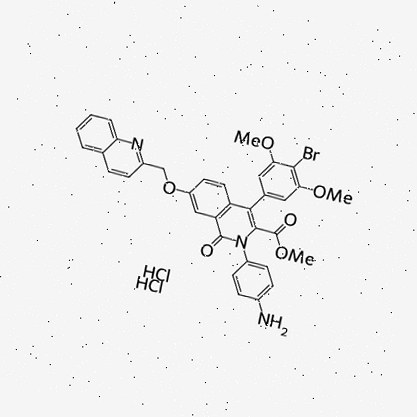 COC(=O)c1c(-c2cc(OC)c(Br)c(OC)c2)c2ccc(OCc3ccc4ccccc4n3)cc2c(=O)n1-c1ccc(N)cc1.Cl.Cl